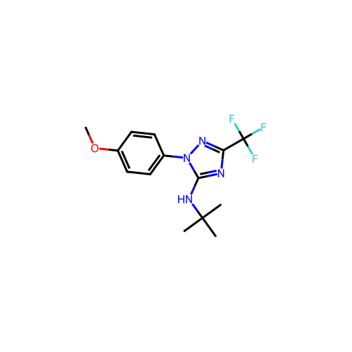 COc1ccc(-n2nc(C(F)(F)F)nc2NC(C)(C)C)cc1